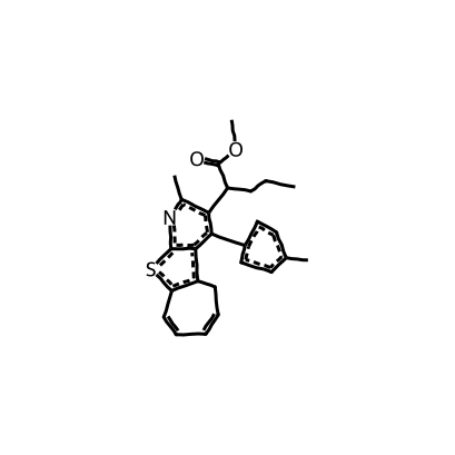 CCCC(C(=O)OC)c1c(C)nc2sc3c(c2c1-c1ccc(C)cc1)CC=CC=C3